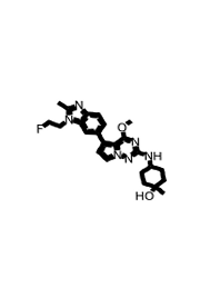 COc1nc(NC2CCC(C)(O)CC2)nn2ccc(-c3ccc4nc(C)n(CCF)c4c3)c12